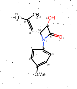 COc1ccc(N2C(=O)[C@@H](O)[C@H]2C=C(C)C)cc1